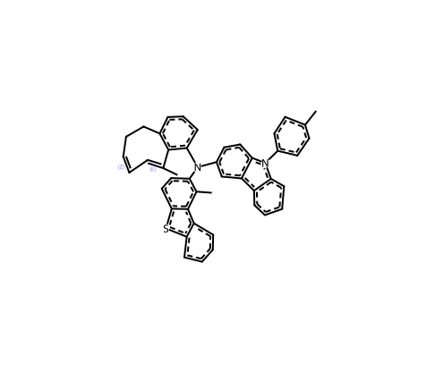 C/C1=C\C=C/CCc2cccc(N(c3ccc4c(c3)c3ccccc3n4-c3ccc(C)cc3)c3ccc4sc5ccccc5c4c3C)c21